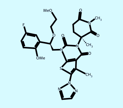 COCCO[C@@H](Cn1c(=O)n([C@@]2(C)CCC(=O)N(C)C2=O)c(=O)c2c(C)c(-n3nccn3)sc21)c1cc(F)ccc1OC